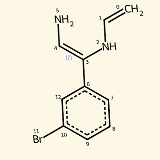 C=CN/C(=C\N)c1cccc(Br)c1